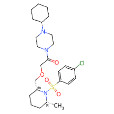 C[C@@H]1CCC[C@H](COCC(=O)N2CCN(C3CCCCC3)CC2)N1S(=O)(=O)c1ccc(Cl)cc1